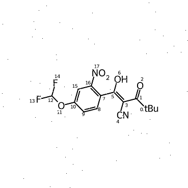 CC(C)(C)C(=O)/C(C#N)=C(\O)c1ccc(OC(F)F)cc1[N+](=O)[O-]